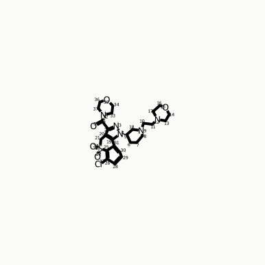 O=C(c1nn([C@H]2CCCN(CCN3CCOCC3)C2)c2c1CS(=O)(=O)c1c(Cl)cccc1-2)N1CCOCC1